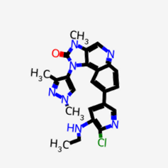 CCNc1cc(-c2ccc3ncc4c(c3c2)n(-c2cn(C)nc2C)c(=O)n4C)cnc1Cl